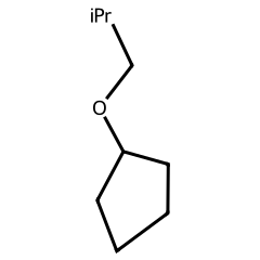 CC(C)COC1CCCC1